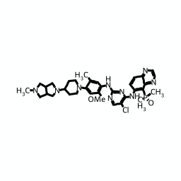 COc1cc(N2CCC(N3CC4CN(C)CC4C3)CC2)c(C)cc1Nc1ncc(Cl)c(Nc2ccc3nccnc3c2P(C)(C)=O)n1